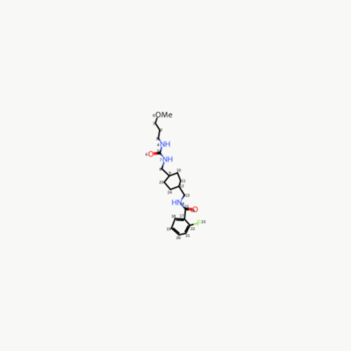 COCCCNC(=O)NCC1CCC(CNC(=O)c2ccccc2F)CC1